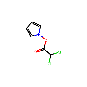 O=C(On1cccc1)C(Cl)Cl